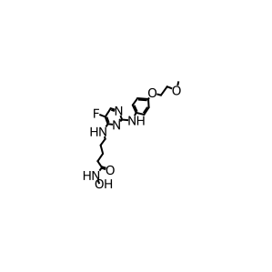 COCCOc1ccc(Nc2ncc(F)c(NCCCCC(=O)NO)n2)cc1